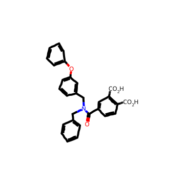 O=C(O)c1ccc(C(=O)N(Cc2ccccc2)Cc2cccc(Oc3ccccc3)c2)cc1C(=O)O